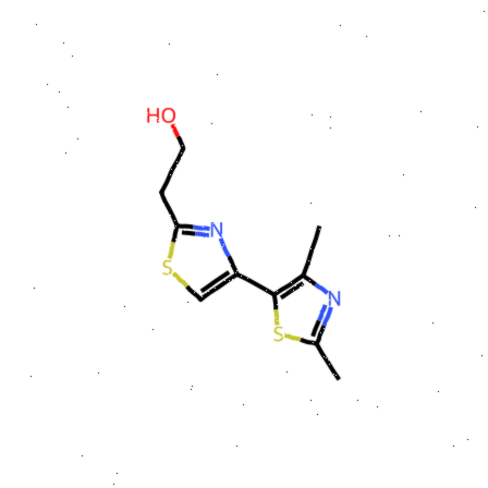 Cc1nc(C)c(-c2csc(CCO)n2)s1